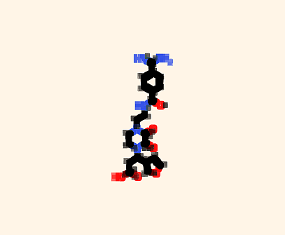 N=C(N)c1ccc(C(=O)NCCN2CCN(C(CC(=O)O)c3ccoc3)C(=O)C2=O)cc1